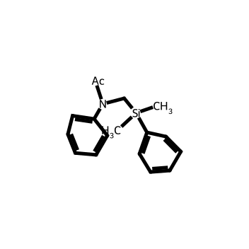 CC(=O)N(C[Si](C)(C)c1ccccc1)c1ccccc1